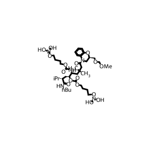 CCCCNC(=O)[C@@H](C[C@H](OC(=O)OCCCCON(O)O)C(CC(C)(C)CC(=O)N1C[C@H](COCOC)Oc2ccccc21)NC(=O)OCCCCON(O)O)C(C)C